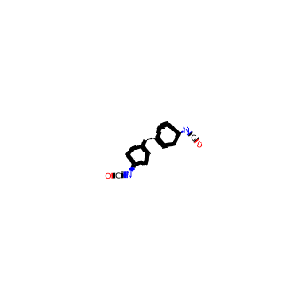 O=C=NC1CCC(C[C@H]2CC[C@@H](N=C=O)CC2)CC1